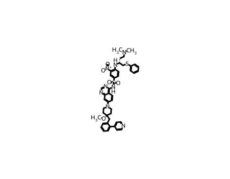 COC1(Cc2ccccc2-c2ccncc2)CCN(c2ccc3c(NS(=O)(=O)c4ccc(N[C@H](CCN(C)C)CSc5ccccc5)c([N+](=O)[O-])c4)ncnc3c2)CC1